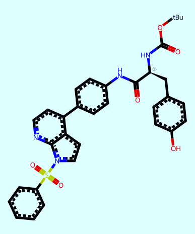 CC(C)(C)OC(=O)N[C@@H](Cc1ccc(O)cc1)C(=O)Nc1ccc(-c2ccnc3c2ccn3S(=O)(=O)c2ccccc2)cc1